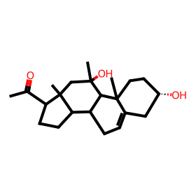 CC(=O)C1CCC2C3CC=C4C[C@@H](O)CCC4(C)C3C(C)(O)CC12C